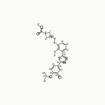 CCc1c(CCN2CC(C(=O)OC)C2)cccc1-c1nnc(-c2ccc(OC(C)C)c(Cl)c2)s1